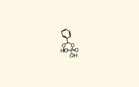 COC(OP(=O)(O)O)c1ccccc1